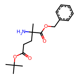 CC(C)(C)OC(=O)CCC(C)(N)C(=O)OCc1ccccc1